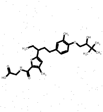 CCC(CCc1ccc(OCC(O)C(C)(C)C)c(C)c1)c1cc(C)c(C(=O)NCC(=O)O)s1